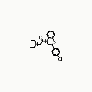 CCN(CC)CC(=O)N1CC(c2ccc(Cl)cc2)Sc2ccccc21